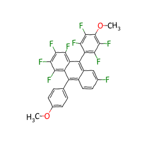 COc1ccc(-c2c3ccc(F)cc3c(-c3c(F)c(F)c(OC)c(F)c3F)c3c(F)c(F)c(F)c(F)c23)cc1